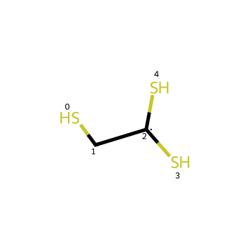 SC[C](S)S